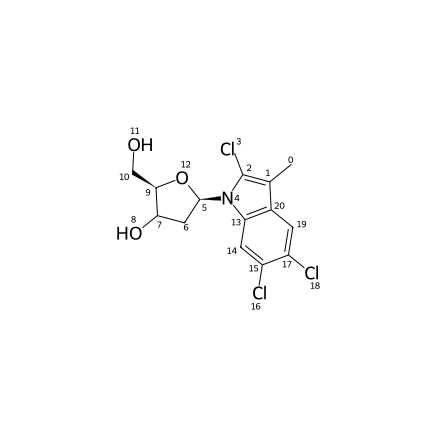 Cc1c(Cl)n([C@H]2CC(O)[C@@H](CO)O2)c2cc(Cl)c(Cl)cc12